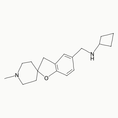 CN1CCC2(CC1)Cc1cc(CNC3CCC3)ccc1O2